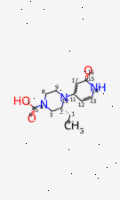 CC[C@@H]1CN(C(=O)O)CCN1c1cc[nH]c(=O)c1